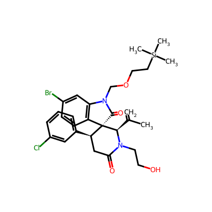 C=C(C)[C@H]1N(CCO)C(=O)C[C@@H](c2cccc(Cl)c2)[C@]12C(=O)N(COCC[Si](C)(C)C)c1cc(Br)ccc12